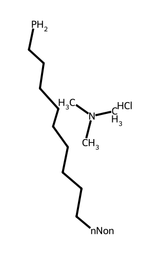 CCCCCCCCCCCCCCCCCCP.CN(C)C.Cl